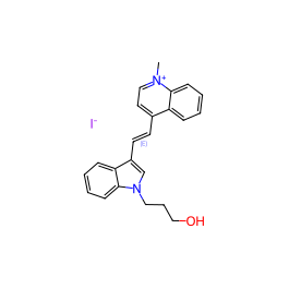 C[n+]1ccc(/C=C/c2cn(CCCO)c3ccccc23)c2ccccc21.[I-]